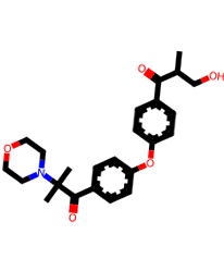 CC(CO)C(=O)c1ccc(Oc2ccc(C(=O)C(C)(C)N3CCOCC3)cc2)cc1